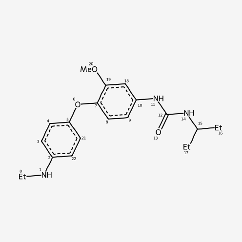 CCNc1ccc(Oc2ccc(NC(=O)NC(CC)CC)cc2OC)cc1